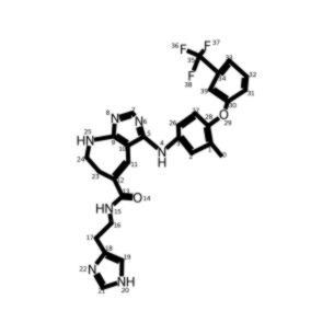 Cc1cc(Nc2ncnc3c2C=C(C(=O)NCCc2c[nH]cn2)CCN3)ccc1Oc1cccc(C(F)(F)F)c1